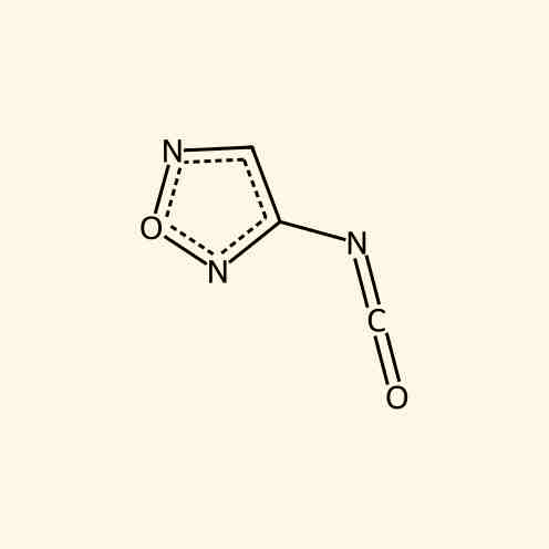 O=C=Nc1cnon1